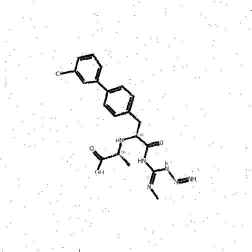 C/N=C(\NN=N)NC(=O)[C@H](Cc1ccc(-c2cccc(Cl)c2)cc1)N[C@@H](C)C(=O)O